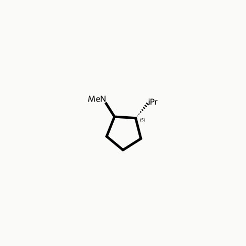 CNC1CCC[C@H]1C(C)C